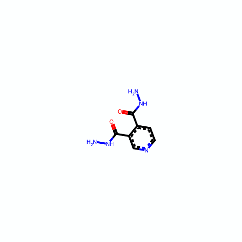 NNC(=O)c1ccncc1C(=O)NN